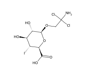 NC(Cl)(Cl)CO[C@H]1O[C@@H](C(=O)O)[C@H](I)[C@@H](O)[C@@H]1O